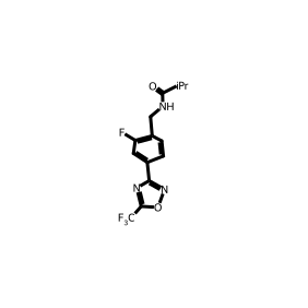 CC(C)C(=O)NCc1ccc(-c2noc(C(F)(F)F)n2)cc1F